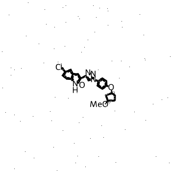 CO[C@@H]1CC[C@H](Oc2ccc(-n3cc(-c4cc5cc(Cl)ccc5[nH]c4=O)nn3)cc2)C1